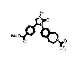 CCN1CC(c2ccc(C(=O)OC)cc2)N(c2ccc3c(c2)CCN(C(=O)C(F)(F)F)CC3)C1=O